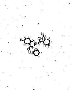 Cc1ccc(C#N)c(C(O)=Cc2nc3ccc(F)cc3c(=O)n2-c2ccccc2Cl)n1